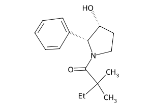 CCC(C)(C)C(=O)N1CC[C@@H](O)[C@H]1c1ccccc1